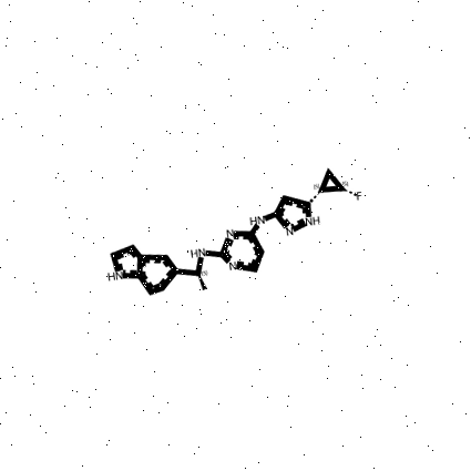 C[C@H](Nc1nccc(Nc2cc([C@@H]3C[C@@H]3F)[nH]n2)n1)c1ccc2[nH]ccc2c1